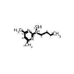 CCCCN(S)c1nc(C)cc(C)n1